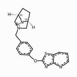 CC(=O)N1[C@@H]2CC[C@H]1CN(Cc1ccc(Oc3nc4ncccc4s3)cc1)C2